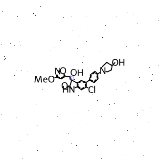 COc1cc(/C(O)=C2\C(=O)Nc3cc(Cl)c(-c4ccc(N5CCC(O)CC5)cc4)cc32)on1